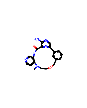 CN1CCOCc2cccc(c2)-c2cnc(N)c(n2)C(=O)Nc2cnccc21